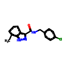 Cc1cccc2c(C(=O)NCc3ccc(Cl)cc3)n[nH]c12